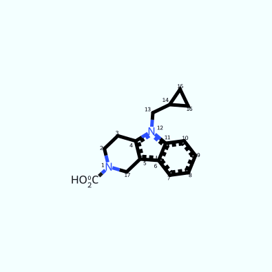 O=C(O)N1CCc2c(c3ccccc3n2CC2CC2)C1